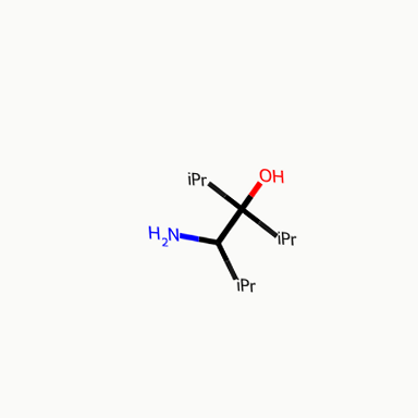 CC(C)C(N)C(O)(C(C)C)C(C)C